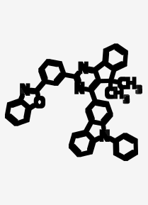 CC1(C)c2ccccc2-c2nc(-c3cccc(-c4nc5ccccc5o4)c3)nc(-c3ccc4c(c3)c3ccccc3n4-c3ccccc3)c21